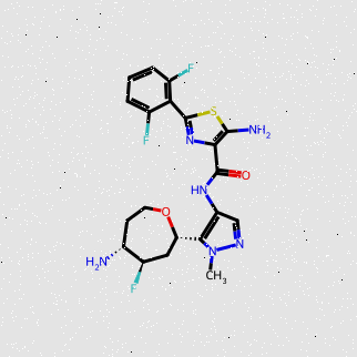 Cn1ncc(NC(=O)c2nc(-c3c(F)cccc3F)sc2N)c1[C@@H]1C[C@@H](F)[C@H](N)CCO1